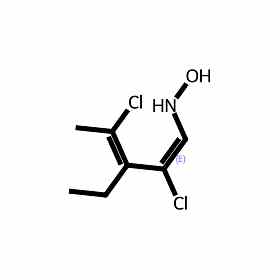 CCC(=C(C)Cl)/C(Cl)=C\NO